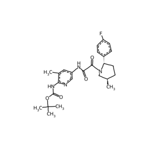 Cc1cc(NC(=O)C(=O)N2C[C@H](C)CC[C@H]2c2ccc(F)cc2)cnc1NC(=O)OC(C)(C)C